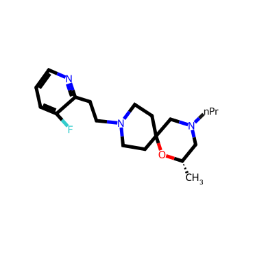 CCCN1C[C@H](C)OC2(CCN(CCc3ncccc3F)CC2)C1